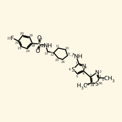 Cc1nc(-c2csc(N[C@H]3CC[C@H](CNS(=O)(=O)c4ccc(F)cc4)CC3)n2)c(C)s1